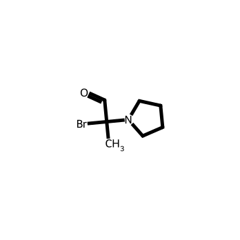 CC(Br)(C=O)N1CCCC1